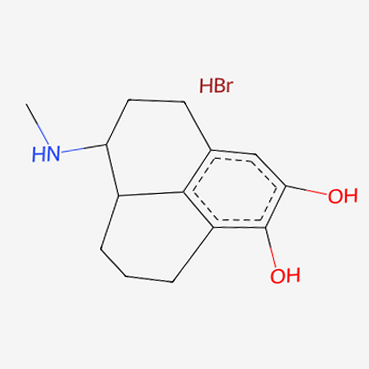 Br.CNC1CCc2cc(O)c(O)c3c2C1CCC3